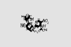 C[C@H](C#N)Nc1cc(-n2ncc3cc(C#N)c(N4C[C@H]5C[C@@H]4CO5)nc32)ncc1[N+](=O)[O-]